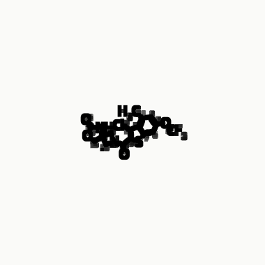 Cc1cc(OC(F)(F)F)cc2sc(C(=O)N3CC4(COC(=O)N4)C3)c(Cl)c12